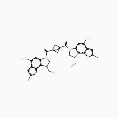 CC(=O)Oc1cc2c(c3sc(C)cc13)C(CCl)CN2C(=O)C12CC(C(=O)N3C[C@@H](CCl)c4c3cc(OC(C)=O)c3cc(C)sc43)(C1)C2